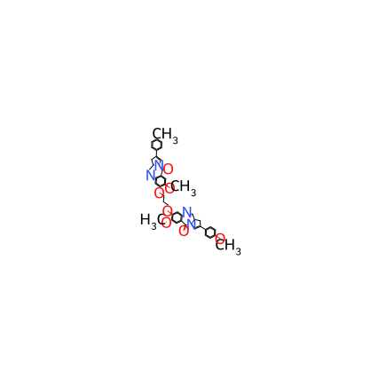 COc1ccc(C2=CN3C(=O)c4cc(OC)c(OCCCOc5cc6c(cc5OC)C(=O)N5C=C(c7ccc(C)cc7)CC5C=N6)cc4N=CC3C2)cc1